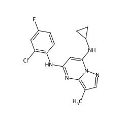 Cc1cnn2c(NC3CC3)cc(Nc3ccc(F)cc3Cl)nc12